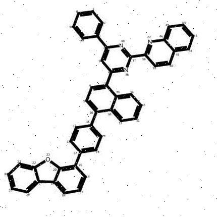 c1ccc(-c2cc(-c3ccc(-c4ccc(-c5cccc6c5oc5ccccc56)cc4)c4ccccc34)nc(-c3ccc4ccccc4n3)n2)cc1